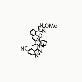 COc1ncc(-c2cccc3cc(C(C)Nc4ncnc5ccc(C#N)cc45)n(-c4ccccc4)c(=O)c23)cn1